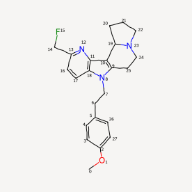 COc1ccc(CCn2c3c(c4nc(CF)ccc42)C2CCCN2CC3)cc1